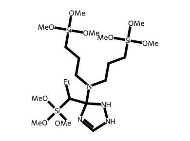 CCC(C1(N(CCC[Si](OC)(OC)OC)CCC[Si](OC)(OC)OC)N=CNN1)[Si](OC)(OC)OC